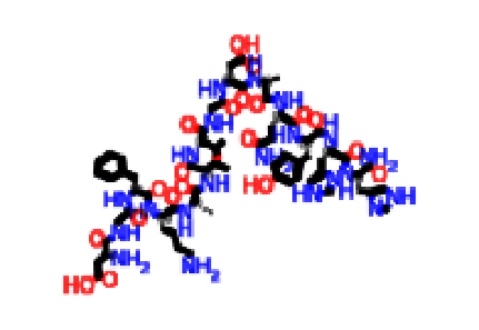 CC(C)[C@H](NC(=O)[C@H](C)NC(=O)[C@H](CCCCN)NC(=O)[C@H](Cc1ccccc1)NC(=O)CNC(=O)[C@@H](N)CC(=O)O)C(=O)N[C@H](C(=O)NCC(=O)N[C@@H](CC(=O)O)C(=O)N[C@@H](C)C(=O)N[C@@H](CCC(N)=O)C(=O)N[C@@H](Cc1ccc(O)cc1)C(=O)N[C@@H](Cc1c[nH]cn1)C(=O)N[C@@H](Cc1c[nH]cn1)C(N)=O)C(C)C